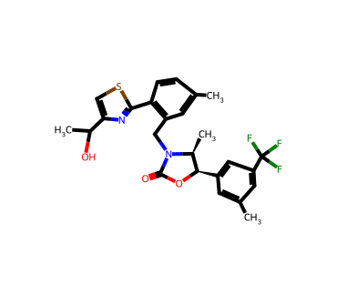 Cc1cc([C@H]2OC(=O)N(Cc3cc(C)ccc3-c3nc(C(C)O)cs3)[C@H]2C)cc(C(F)(F)F)c1